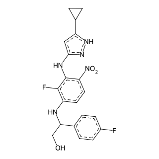 O=[N+]([O-])c1ccc(NC(CO)c2ccc(F)cc2)c(F)c1Nc1cc(C2CC2)[nH]n1